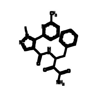 Cn1ncc(C(=O)NC(Cc2ccccc2)C(=O)C(N)=O)c1-c1cccc(C(F)(F)F)n1